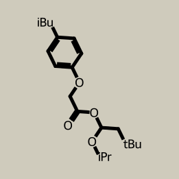 CCC(C)c1ccc(OCC(=O)OC(CC(C)(C)C)OC(C)C)cc1